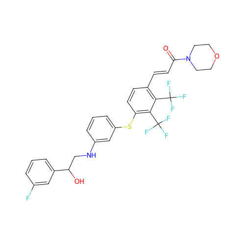 O=C(C=Cc1ccc(Sc2cccc(NCC(O)c3cccc(F)c3)c2)c(C(F)(F)F)c1C(F)(F)F)N1CCOCC1